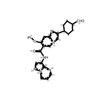 CC(C)Oc1cc2nc(C3CCC(C=O)CC3)cn2cc1C(=O)Nc1cnn2cccnc12